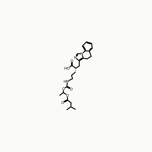 CC(C)CC(=O)OC(C)OC(=O)NCCC[C@@H](Cc1ncn2c1CCc1ccccc1-2)C(=O)O